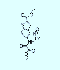 CCOC(=O)C(=O)Nc1ccc2sc(C(=O)OCC)cc2c1[N+](=O)[O-]